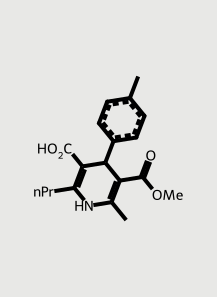 CCCC1=C(C(=O)O)C(c2ccc(C)cc2)C(C(=O)OC)=C(C)N1